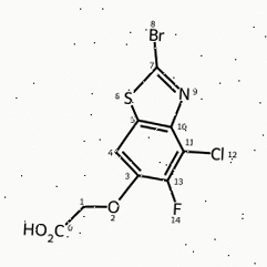 O=C(O)COc1cc2sc(Br)nc2c(Cl)c1F